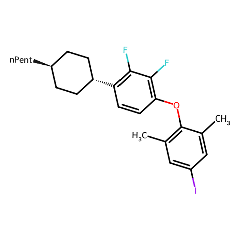 CCCCC[C@H]1CC[C@H](c2ccc(Oc3c(C)cc(I)cc3C)c(F)c2F)CC1